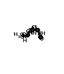 CS(=O)(=O)N[C@@H]1CC[C@H](C(=O)Nc2cc(-c3cc(NCC4CCOCC4)ccc3Cl)c(Cl)cn2)C1